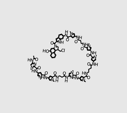 CC(=O)Nc1cn(C)c(C(=O)Nc2cc(C(=O)Nc3cc(C(=O)NCCC(=O)Nc4cn(C)c(C(=O)Nc5cc(C(=O)NCCCC(=O)Nc6cc(C(=O)Nc7cc(C(=O)NCCC(=O)Nc8cc(C(=O)Nc9ccc%10cc(C(=O)N%11CC(CCl)c%12c%11cc(O)c%11ccccc%12%11)[nH]c%10c9)n(C)c8)n(C)c7)n(C)c6)n(C)c5)n4)n(C)c3)n(C)c2)n1